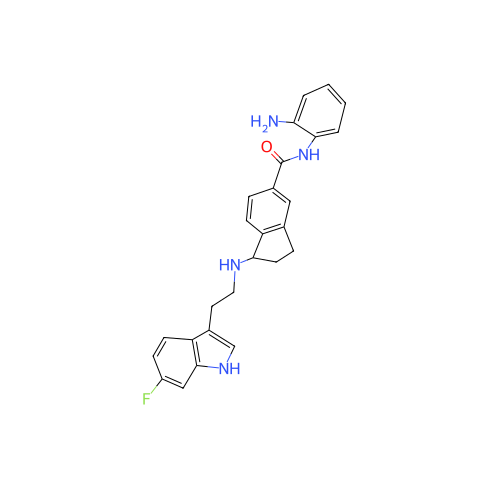 Nc1ccccc1NC(=O)c1ccc2c(c1)CCC2NCCc1c[nH]c2cc(F)ccc12